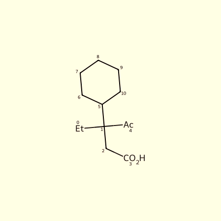 CCC(CC(=O)O)(C(C)=O)C1CCCCC1